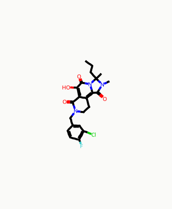 CCCC1(C)N(C)C(=O)c2c3c(c(O)c(=O)n21)C(=O)N(Cc1ccc(F)c(Cl)c1)CC3